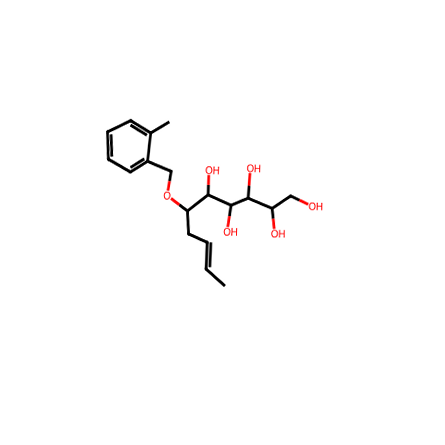 CC=CCC(OCc1ccccc1C)C(O)C(O)C(O)C(O)CO